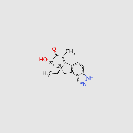 CC[C@]12Cc3c(ccc4[nH]ncc34)C1=C(C)C(=O)[C@@H](O)C2